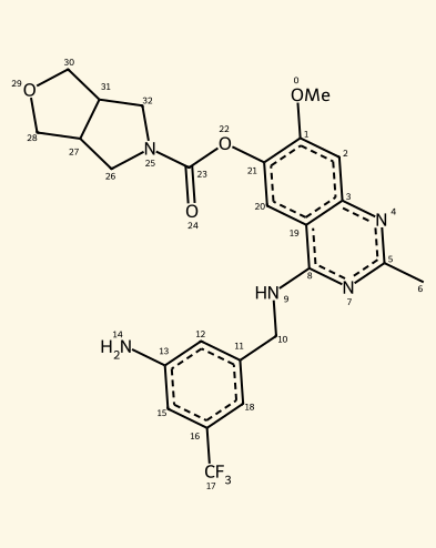 COc1cc2nc(C)nc(NCc3cc(N)cc(C(F)(F)F)c3)c2cc1OC(=O)N1CC2COCC2C1